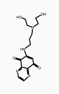 O=C1C=C(NCCCN(CCO)CCO)C(=O)c2nccnc21